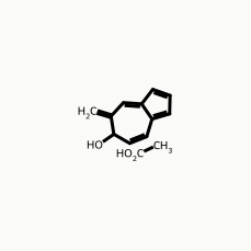 C=C1C=C2C=CC=C2C=CC1O.CC(=O)O